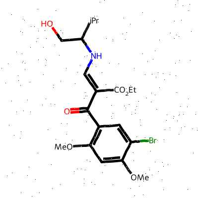 CCOC(=O)/C(=C\NC(CO)C(C)C)C(=O)c1cc(Br)c(OC)cc1OC